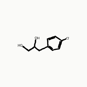 OCC(O)Cc1ccc(Cl)cc1